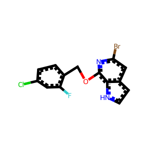 Fc1cc(Cl)ccc1COc1nc(Br)cc2cc[nH]c12